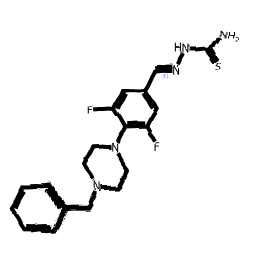 NC(=S)N/N=C/c1cc(F)c(N2CCN(Cc3ccccc3)CC2)c(F)c1